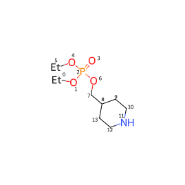 CCOP(=O)(OCC)OCC1CCNCC1